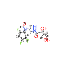 C[C@H](CNC(=O)[C@H](O)C(C)(C)CO)N(C=O)c1cc(F)c(F)cc1F